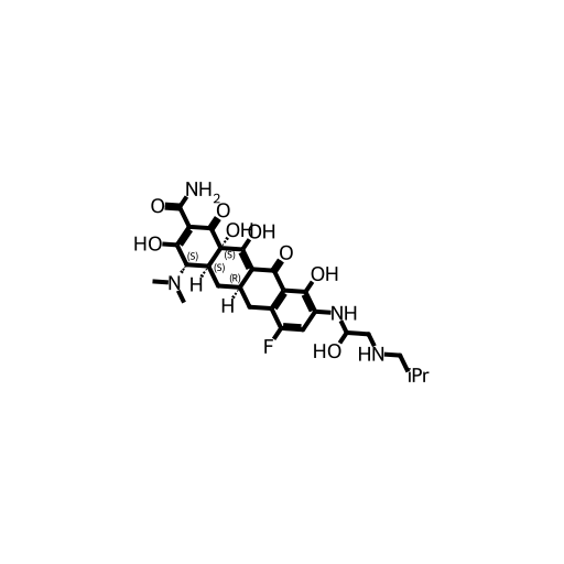 CC(C)CNCC(O)Nc1cc(F)c2c(c1O)C(=O)C1=C(O)[C@]3(O)C(=O)C(C(N)=O)=C(O)[C@@H](N(C)C)[C@@H]3C[C@@H]1C2